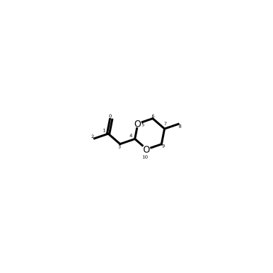 C=C(C)CC1OCC(C)CO1